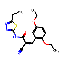 CCOc1ccc(OCC)c(/C=C(/C#N)C(=O)Nc2nnc(CC)s2)c1